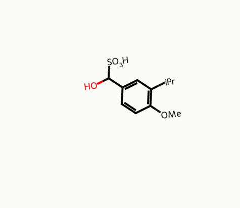 COc1ccc(C(O)S(=O)(=O)O)cc1C(C)C